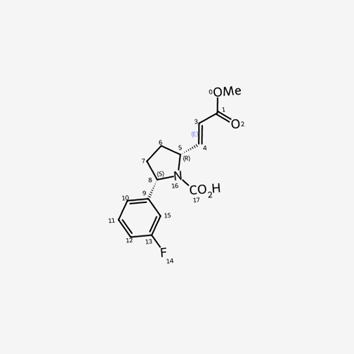 COC(=O)/C=C/[C@H]1CC[C@@H](c2cccc(F)c2)N1C(=O)O